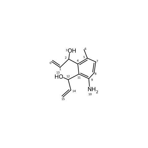 C=CC(O)c1c(C)ccc(N)c1C(O)C=C